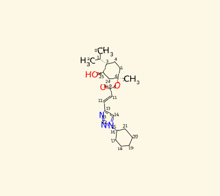 CC(C)[C@@H]1CC[C@@](C)(OC(=O)/C=C/c2cn(C3CCCCC3)nn2)C[C@H]1O